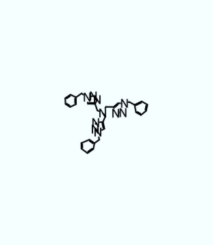 c1ccc(Cn2cc(CN(Cc3cn(Cc4ccccc4)nn3)Cc3cn(Cc4ccccc4)nn3)nn2)cc1